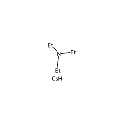 CCN(CC)CC.[CsH]